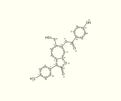 Cc1ccc(-c2c3ccc(SS)c(OC(=O)c4ccc(O)cc4)cc-3oc2=O)cc1